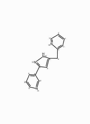 c1ccc(Cc2cc(-c3cccnc3)n[nH]2)nc1